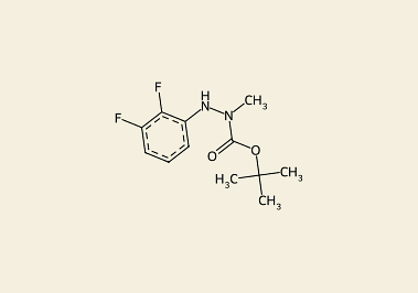 CN(Nc1cccc(F)c1F)C(=O)OC(C)(C)C